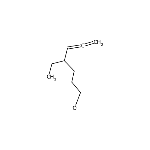 C=C=CC(CC)CCC[O]